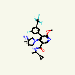 COc1ncc(C(=O)NC(C)C2CC2)c(N2CC[C@](C)(N)C2)c1-c1cc(F)cc(C(F)(F)F)c1